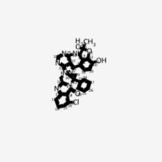 CC1(C)Cc2c(-c3nn(Cc4nc5cccc(Cl)c5c(=O)n4C4(c5ccccc5)CC4)c4ncnc(N)c34)ccc(O)c2O1